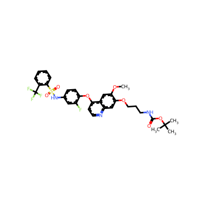 COc1cc2c(Oc3ccc(NS(=O)(=O)c4ccccc4C(F)(F)F)cc3F)ccnc2cc1OCCCNC(=O)OC(C)(C)C